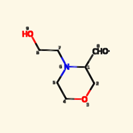 O=[C]C1COCCN1CCO